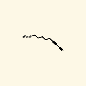 [C]#CC#CCCCCCCCCCC